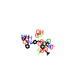 O=C(Cc1ccc(CNC(C(=O)O[C@H]2CN3CCC2CC3)c2ccccc2)cc1)O[C@@H](Cc1c(Cl)c[n+]([O-])cc1Cl)c1ccc(OC(F)F)c(OCC2CC2)c1.O=C(O)C(F)(F)F